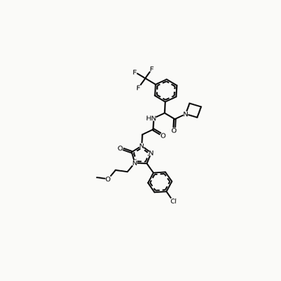 COCCn1c(-c2ccc(Cl)cc2)nn(CC(=O)NC(C(=O)N2CCC2)c2cccc(C(F)(F)F)c2)c1=O